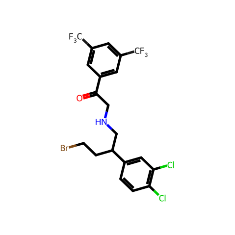 O=C(CNCC(CCBr)c1ccc(Cl)c(Cl)c1)c1cc(C(F)(F)F)cc(C(F)(F)F)c1